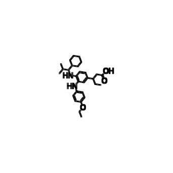 CCOc1ccc(Nc2cc(C(CC)CC(=O)O)ccc2NC(C(C)C)C2CCCCC2)cc1